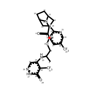 CC(CONC(=O)CN1C2CCC1CN(c1ncc(C(F)(F)F)cn1)C2)Nc1cn[nH]c(=O)c1C(F)(F)F